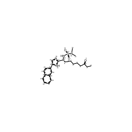 CCC(=O)CCCCC[C@H](NS(=O)(=O)N(C)C)c1ncc(-c2ccc3ccccc3c2)[nH]1